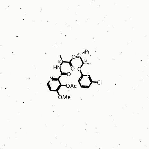 COc1ccnc(C(=O)N[C@@H](C)C(=O)O[C@H](C(C)C)[C@H](C)Oc2cccc(Cl)c2)c1OC(C)=O